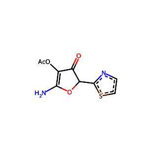 CC(=O)OC1=C(N)OC(c2nccs2)C1=O